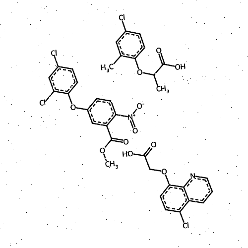 COC(=O)c1cc(Oc2ccc(Cl)cc2Cl)ccc1[N+](=O)[O-].Cc1cc(Cl)ccc1OC(C)C(=O)O.O=C(O)COc1ccc(Cl)c2cccnc12